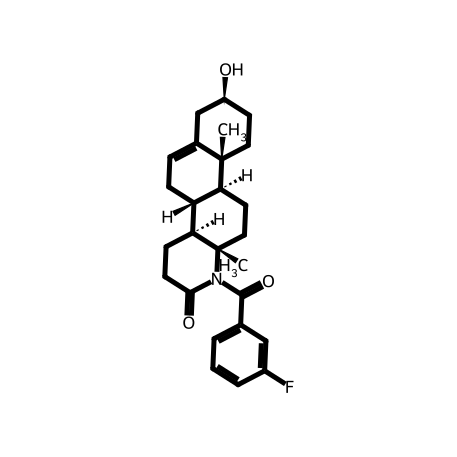 C[C@]12CC[C@H](O)CC1=CC[C@@H]1[C@@H]2CC[C@@]2(C)[C@H]1CCC(=O)N2C(=O)c1cccc(F)c1